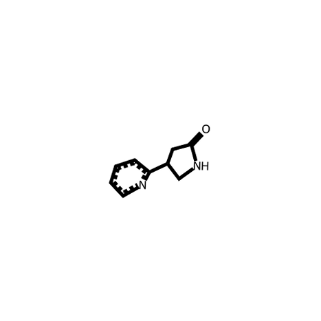 O=C1CC(c2ccccn2)CN1